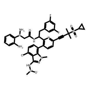 Cn1nc(N[S+](C)[O-])c2c(Cl)ccc(-c3ccc(C#CC(C)(C)S(=O)(=O)C4CC4)nc3C(Cc3cc(F)cc(F)c3)NC(=O)CN(N)c3ccccc3N)c21